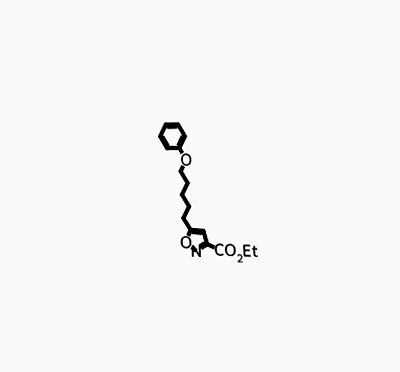 CCOC(=O)c1cc(CCCCCOc2ccccc2)on1